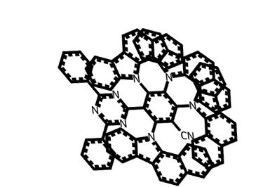 N#Cc1c(-n2c3ccccc3c3ccc4ccccc4c32)c(-c2nc(-c3ccccc3)nc(-c3ccccc3)n2)c(-n2c3ccccc3c3ccc4ccccc4c32)c(-n2c3ccccc3c3ccc4ccccc4c32)c1-n1c2ccccc2c2ccc3ccccc3c21